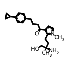 Cn1ccc(C(=O)CCCc2ccc(C3CC3)cc2)c1CC[C@](C)(N)CO